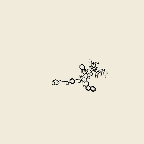 CC(C)(C)NC(=O)C(=O)C(C[C@@H]1CCNC1=O)NC(=O)C(CC1CCCCC1)NC(=O)C(Cc1cccc2ccccc12)NC(=O)OCc1ccc(OCCCN2CCOCC2)cc1